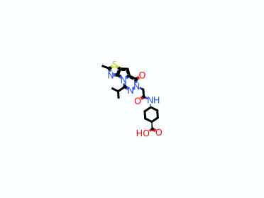 Cc1nc2c(cc3c(=O)n(CC(=O)N[C@H]4CC[C@H](C(=O)O)CC4)nc(C(C)C)n32)s1